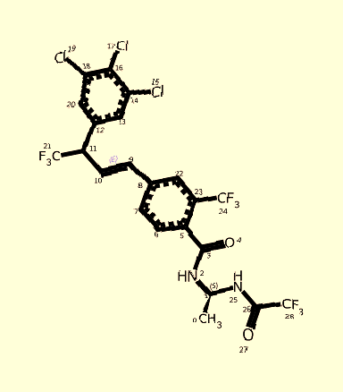 C[C@@H](NC(=O)c1ccc(/C=C/C(c2cc(Cl)c(Cl)c(Cl)c2)C(F)(F)F)cc1C(F)(F)F)NC(=O)C(F)(F)F